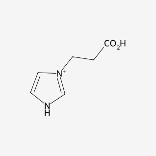 O=C(O)CC[n+]1cc[nH]c1